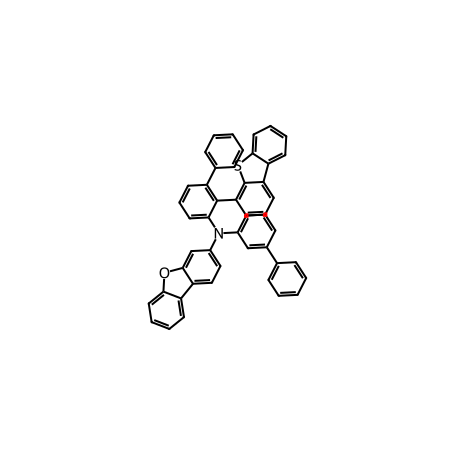 c1ccc(-c2cccc(N(c3ccc4c(c3)oc3ccccc34)c3cccc(-c4ccccc4)c3-c3cccc4c3sc3ccccc34)c2)cc1